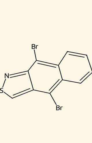 Brc1c2ccccc2c(Br)c2nscc12